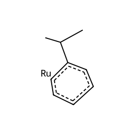 CC(C)c1ccccc1.[Ru]